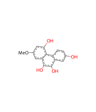 COc1cc(O)c2c(c1)c(O)c(O)c1cc(O)ccc12